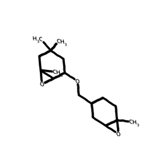 CC1(C)CC(OCC2CCC3(C)OC3C2)C2OC2(C)C1